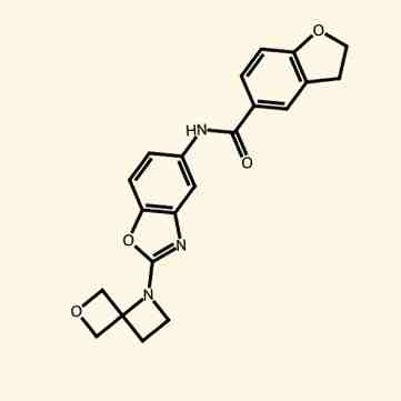 O=C(Nc1ccc2oc(N3CCC34COC4)nc2c1)c1ccc2c(c1)CCO2